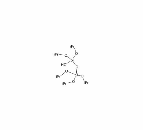 CC(C)O[Si](O)(OC(C)C)O[Si](OC(C)C)(OC(C)C)OC(C)C